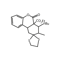 CCCCC1C(C)C2(CC3c4ccccc4OC(=O)C31C(=O)OCC)SCCS2